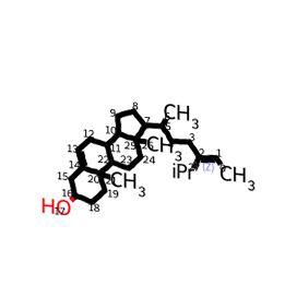 C/C=C(/CCC(C)C1CCC2C3CC=C4CC(O)CCC4(C)C3CCC12C)C(C)C